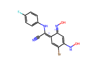 N#C/C(Nc1ccc(F)cc1)=C1\C=C(Br)C(NO)=C\C1=N/O